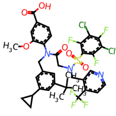 COc1cc(C(=O)O)ccc1N(Cc1cc(C2CC2)cc(C(C)(C)C)c1)C(=O)CN(Cc1cnccc1C(F)(F)F)S(=O)(=O)c1c(F)c(Cl)c(F)c(Cl)c1F